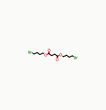 O=C(CCC(=O)OCCCCBr)OCCCCBr